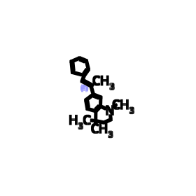 C/C(=C\c1ccccc1)c1ccc2c(c1)N(C)CCC2(C)C